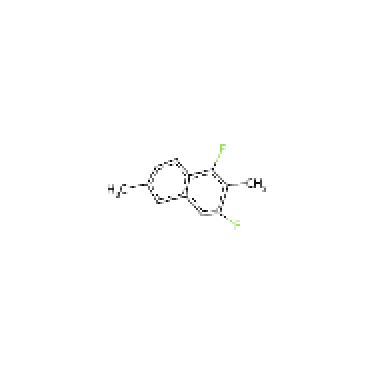 Cc1ccc2c(F)c(C)c(F)cc2c1